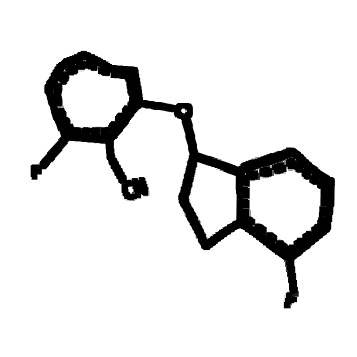 N#Cc1c(F)cccc1OC1CCc2c(F)cccc21